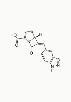 Cn1nnc2cc(/C=C3\C(=O)N4C(C(=O)O)=CS[C@H]34)ccc21